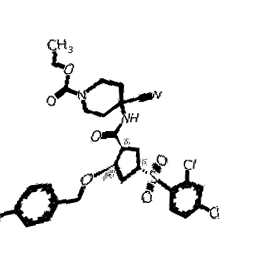 CCOC(=O)N1CCC(C#N)(NC(=O)[C@H]2C[C@H](S(=O)(=O)c3ccc(Cl)cc3Cl)C[C@H]2OCc2ccc(Cl)cc2)CC1